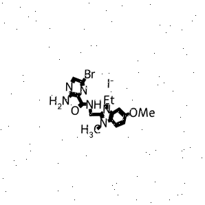 CCn1c(CNC(=O)c2nc(Br)cnc2N)[n+](C)c2ccc(OC)cc21.[I-]